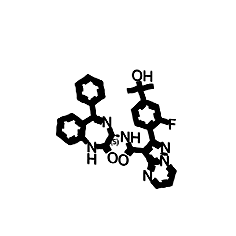 CC(C)(O)c1ccc(-c2nn3cccnc3c2C(=O)N[C@H]2N=C(c3ccccc3)c3ccccc3NC2=O)c(F)c1